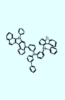 c1ccc(-c2cccc(N(c3cccc(-c4cc5c(c6ccccc46)c4ccc6ccccc6c4n5-c4ccccc4)c3)c3cccc(N(c4ccccc4)c4cccc5oc6ccccc6c45)c3)c2)cc1